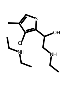 CCNCC.CCNCC(O)c1scc(C)c1Cl